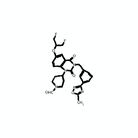 Cc1nc(-c2cccc(Cn3c(=O)c4cc(OC(CF)CF)ccc4n(C4CCN(C=O)CC4)c3=O)c2)no1